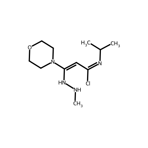 CNN/C(=C\C(Cl)=N/C(C)C)N1CCOCC1